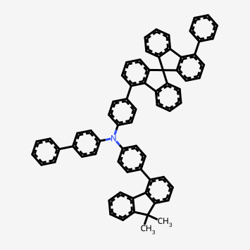 CC1(C)c2ccccc2-c2c(-c3ccc(N(c4ccc(-c5ccccc5)cc4)c4ccc(-c5cccc6c5-c5ccccc5C65c6ccccc6-c6c(-c7ccccc7)cccc65)cc4)cc3)cccc21